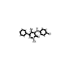 CCn1nc(-c2ccccc2)c(C(C)=O)c(Nc2ccc(Cl)cc2)c1=O